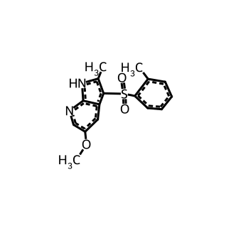 COc1cnc2[nH]c(C)c(S(=O)(=O)c3ccccc3C)c2c1